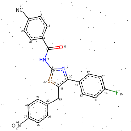 N#Cc1ccc(C(=O)Nc2nc(-c3ccc(F)cc3)c(Cc3ccc([N+](=O)[O-])cc3)s2)cc1